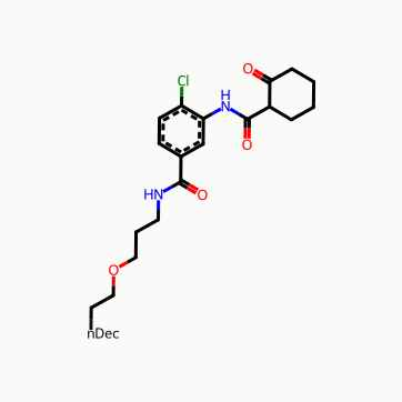 CCCCCCCCCCCCOCCCNC(=O)c1ccc(Cl)c(NC(=O)C2CCCCC2=O)c1